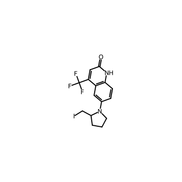 O=c1cc(C(F)(F)F)c2cc(N3CCCC3CI)ccc2[nH]1